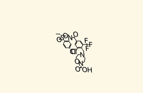 CCS(=O)(=O)c1ccc(Cl)cc1N(C)C(=O)c1cc(Cl)c(CN2CCON(C(=O)O)CC2)c(C(F)(F)F)c1